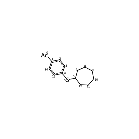 CC(=O)c1ccc(SC2CCCCCC2)cc1